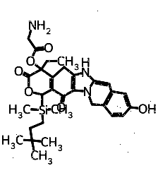 CCC1(OC(=O)CN)C(=O)OC([Si](C)(C)CCC(C)(C)C)C2=C1CC1=C(C2=O)N2Cc3ccc(O)cc3C=C2N1